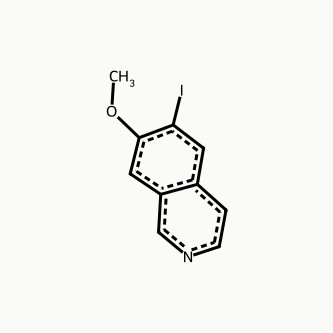 COc1cc2cnccc2cc1I